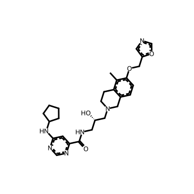 Cc1c(OCc2cnco2)ccc2c1CCN(C[C@@H](O)CNC(=O)c1cc(NC3CCCC3)ncn1)C2